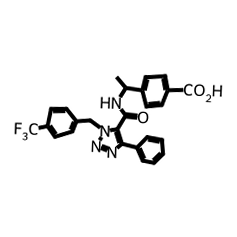 CC(NC(=O)c1c(-c2ccccc2)nnn1Cc1ccc(C(F)(F)F)cc1)c1ccc(C(=O)O)cc1